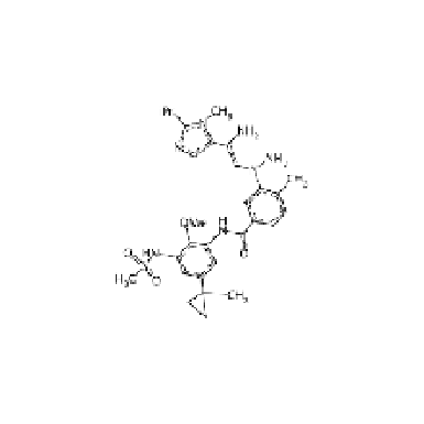 COc1c(NC(=O)c2ccc(C)c(N(N)/C=C(\N)c3cnc(C(C)C)n3C)c2)cc(C2(C)CC2)cc1NS(C)(=O)=O